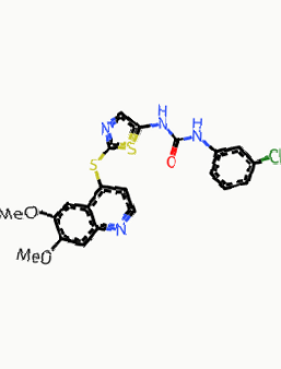 COc1cc2nccc(Sc3ncc(NC(=O)Nc4cccc(Cl)c4)s3)c2cc1OC